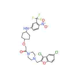 O=C(COC1CCC(Nc2ccc([N+](=O)[O-])c(C(F)(F)F)c2)CC1)N1CCN(Cc2oc3ccc(Cl)cc3c2Cl)CC1